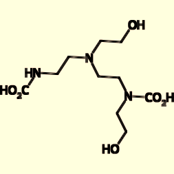 O=C(O)NCCN(CCO)CCN(CCO)C(=O)O